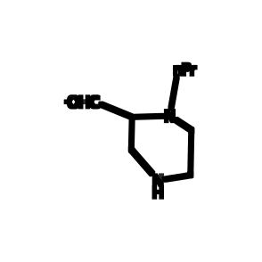 CCCN1CCNCC1[C]=O